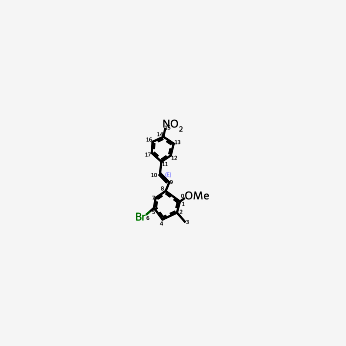 COc1c(C)cc(Br)cc1/C=C/c1ccc([N+](=O)[O-])cc1